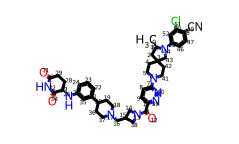 C[C@@H]1CC2(CCN(c3ccc(C(=O)N4CC(CN5CCC(c6cccc(N[C@H]7CCC(=O)NC7=O)c6)CC5)C4)nn3)CC2)CN1c1ccc(C#N)c(Cl)c1